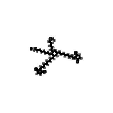 CCCCCCCCC1C(CCCCCC)CC(CCCCCCCCN2C(=O)CCC2=O)CC1CCCCCCCCN1C(=O)CCC1=O